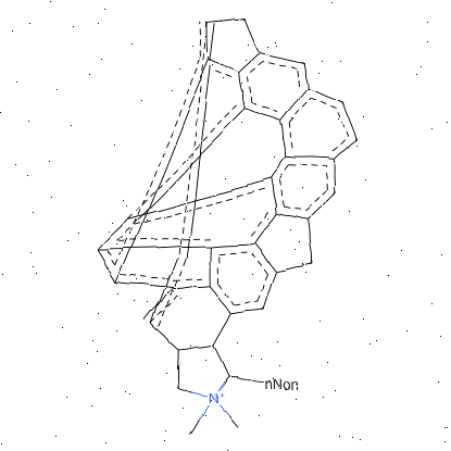 CCCCCCCCCC1C2c3cc4c5c6c(cc7ccc8cc9c%10c%11c(cc(c%12c3c5c(c%12%11)c3c%10c8c7c63)C2C[N+]1(C)C)C9)C4